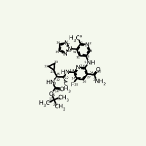 Cc1ncc(Nc2nc(N[C@H](C)[C@@H](NC(=O)OC(C)(C)C)C3CC3)c(F)cc2C(N)=O)cc1-n1nccn1